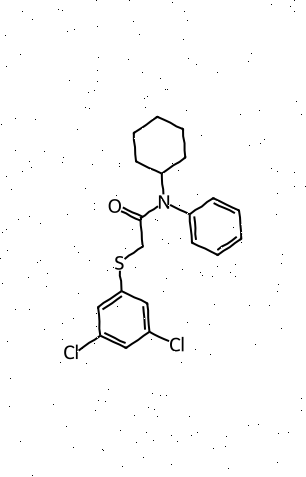 O=C(CSc1cc(Cl)cc(Cl)c1)N(c1ccccc1)C1CCCCC1